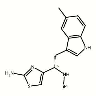 Cc1ccc2[nH]cc(C[C@H](NC(C)C)c3csc(N)n3)c2c1